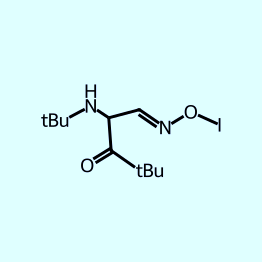 CC(C)(C)NC(C=NOI)C(=O)C(C)(C)C